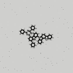 c1ccc(C2=NC(c3ccc(-c4ccccc4)c4sc5c(-n6c7ccccc7c7c8oc9ccccc9c8ccc76)cccc5c34)NC(c3ccccc3)=N2)cc1